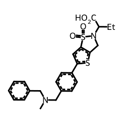 CCC(C(=O)O)N1Cc2sc(-c3ccc(CN(C)Cc4ccccc4)cc3)cc2S1(=O)=O